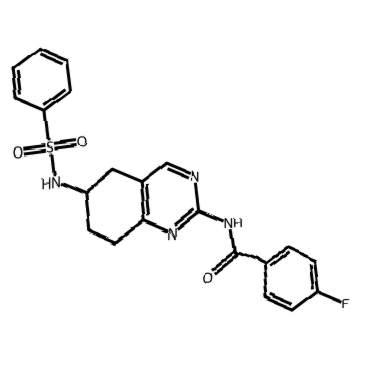 O=C(Nc1ncc2c(n1)CCC(NS(=O)(=O)c1ccccc1)C2)c1ccc(F)cc1